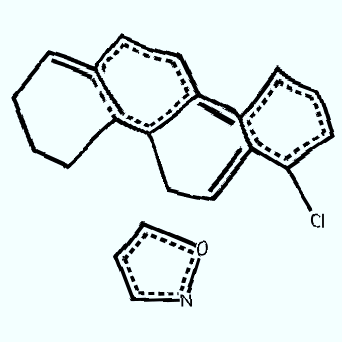 Clc1cccc2c1=CCc1c3c(ccc1=2)=CCCC3.c1cnoc1